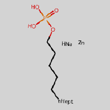 CCCCCCCCCCCCOP(=O)(O)O.[NaH].[Zn]